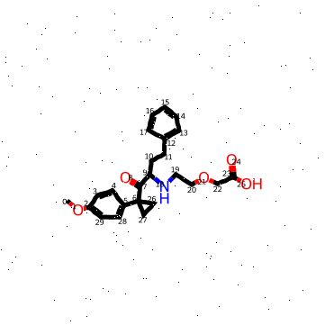 COc1ccc(C2(C(=O)C(CCc3ccccc3)NCCOCC(=O)O)CC2)cc1